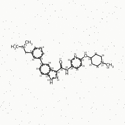 CN(C)Cc1cncc(-c2ccc3[nH]nc(C(=O)Nc4ccc(OC5CCN(C)CC5)nc4)c3c2)c1